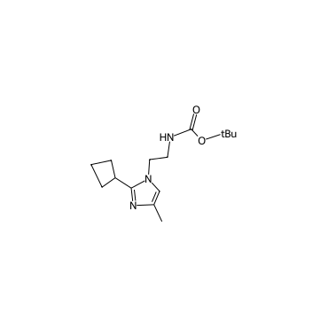 Cc1cn(CCNC(=O)OC(C)(C)C)c(C2CCC2)n1